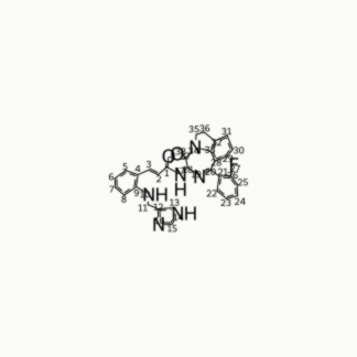 O=C(/C=C/c1ccccc1NCc1c[nH]cn1)NC1N=C(c2ccccc2F)c2cccc3c2N(CC3)C1=O